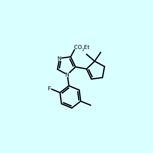 CCOC(=O)c1ncn(-c2cc(C)ccc2F)c1C1=CCCC1(C)C